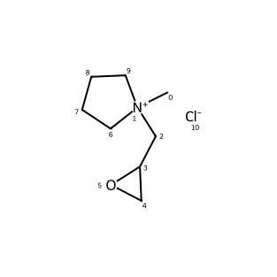 C[N+]1(CC2CO2)CCCC1.[Cl-]